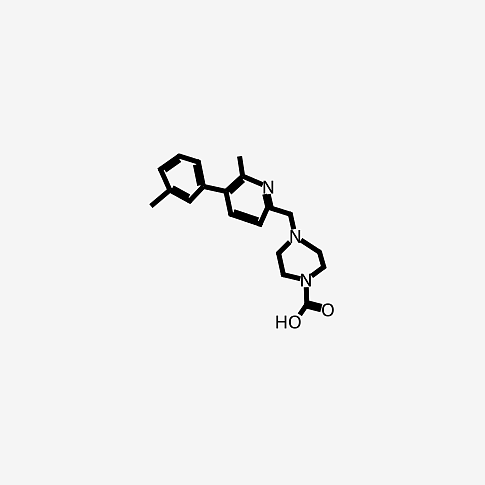 Cc1cccc(-c2ccc(CN3CCN(C(=O)O)CC3)nc2C)c1